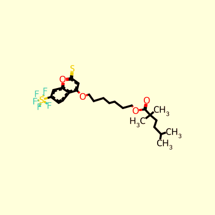 CC(C)CCC(C)(C)C(=O)OCCCCCCCOc1cc(=S)oc2cc(S(F)(F)(F)(F)F)ccc12